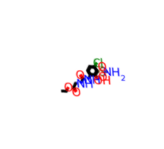 CCOC(=O)CNC(=O)Nc1ccc(Cl)c(S(N)(=O)=O)c1O